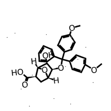 COc1ccc(C(O[C@@H]2[C@H](O)[C@@H]3O[C@H]2C[C@H]3C(=O)O)(c2ccccc2)c2ccc(OC)cc2)cc1